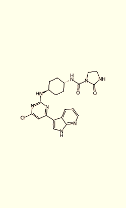 O=C1NCCN1C(=O)N[C@H]1CC[C@H](Nc2nc(Cl)cc(-c3c[nH]c4ncccc34)n2)CC1